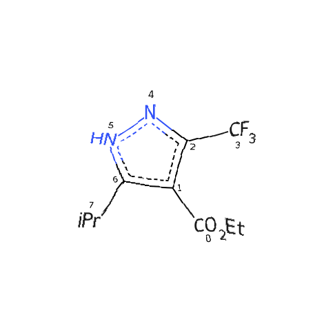 CCOC(=O)c1c(C(F)(F)F)n[nH]c1C(C)C